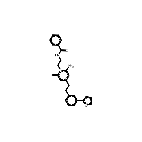 Nc1nc(CCc2cccc(-c3ccco3)c2)cc(=O)n1CCNC(=O)c1ccccc1